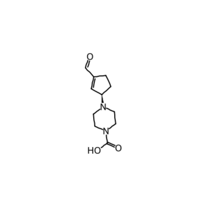 O=CC1=C[C@H](N2CCN(C(=O)O)CC2)CC1